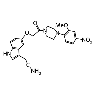 COc1cc([N+](=O)[O-])ccc1N1CCN(C(=O)COc2ccc3[nH]cc(CCN)c3c2)CC1